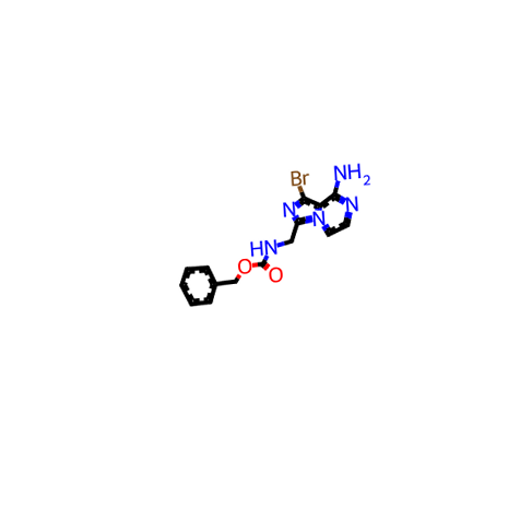 Nc1nccn2c(CNC(=O)OCc3ccccc3)nc(Br)c12